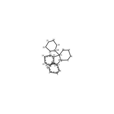 [c]1ncccc1N1CCCCC1(c1ccccn1)N1CCCCC1